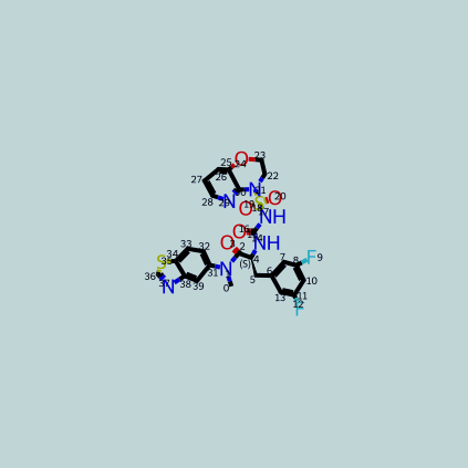 CN(C(=O)[C@H](Cc1cc(F)cc(F)c1)NC(=O)NS(=O)(=O)N1CCOc2cccnc21)c1ccc2scnc2c1